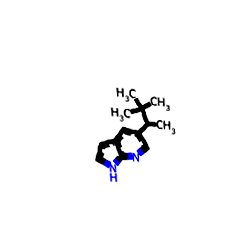 CC(c1cnc2[nH]ccc2c1)C(C)(C)C